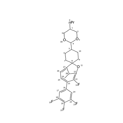 CCCC1COC(C2CCC3(CC2)OC2=C(F)C(c4cc(F)c(F)c(F)c4)=CC=C3C2C)OC1